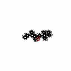 c1ccc2cc(-c3cc4c5cccc6c5c(cc4c4ccccc34)-c3ccc(-c4c5ccccc5c(-c5cccc7ccccc57)c5ccccc45)cc3O6)ccc2c1